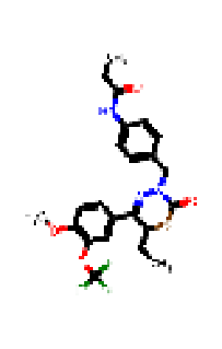 CCC(=O)Nc1ccc(CN2N=C(c3ccc(OC)c(OC(F)(F)F)c3)C(CC)SC2=O)cc1